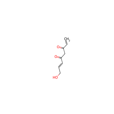 C=CC(=O)CC(=O)C=CCO